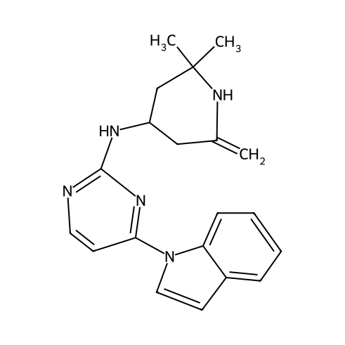 C=C1CC(Nc2nccc(-n3ccc4ccccc43)n2)CC(C)(C)N1